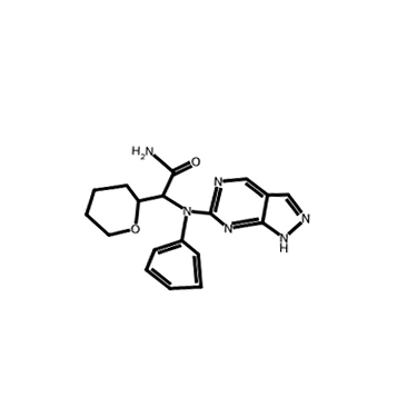 NC(=O)C(C1CCCCO1)N(c1ccccc1)c1ncc2cn[nH]c2n1